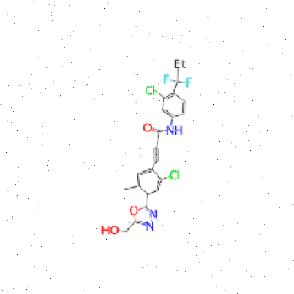 CCC(F)(F)c1ccc(NC(=O)C#CC2=CC(C)C(c3nnc(CO)o3)C=C2Cl)cc1Cl